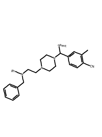 CCCCCC(c1ccc(C#N)c(C)c1)N1CCN(CCN(Cc2ccccc2)C(C)C)CC1